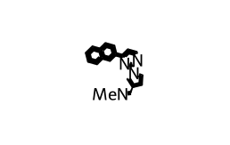 CNC[C@@H]1CCN(c2nccc(-c3ccc4ccccc4c3)n2)C1